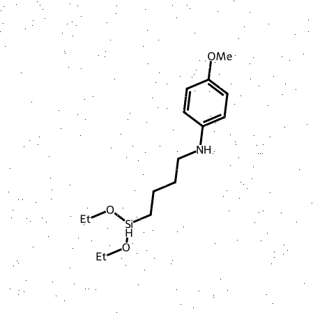 CCO[SiH](CCCCNc1ccc(OC)cc1)OCC